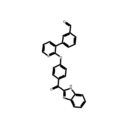 O=Cc1cccc(-c2cccnc2Oc2ccc(C(=O)c3nc4ccccc4[nH]3)cc2)c1